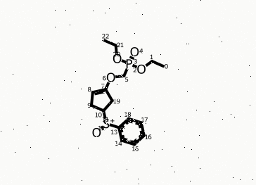 CCOP(=O)(COC1=CCC([S+]([O-])c2ccccc2)C1)OCC